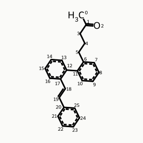 CC(=O)CCCc1ccccc1-c1ccccc1/C=C/c1ccccc1